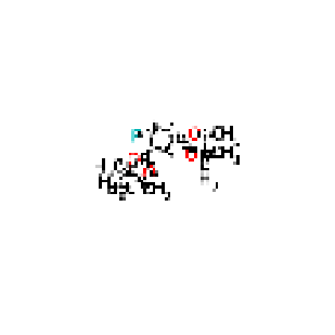 CC1OB(c2ccc(F)c(B3OC(C)(C)C(C)(C)O3)c2)OC1(C)C